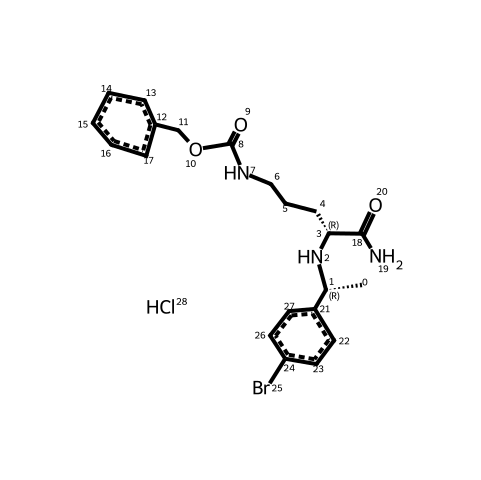 C[C@@H](N[C@H](CCCNC(=O)OCc1ccccc1)C(N)=O)c1ccc(Br)cc1.Cl